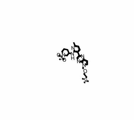 Cc1ccc(-c2cnc3c(ccn3COCC[Si](C)(C)C)n2)c(NC2CCCN(S(C)(=O)=O)C2)n1